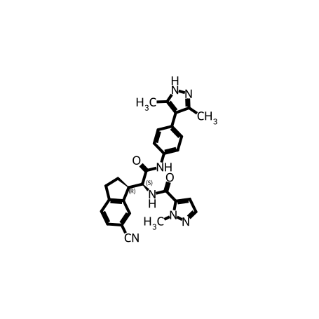 Cc1n[nH]c(C)c1-c1ccc(NC(=O)[C@@H](NC(=O)c2ccnn2C)[C@@H]2CCc3ccc(C#N)cc32)cc1